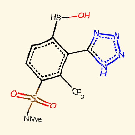 CNS(=O)(=O)c1ccc(BO)c(-c2nnn[nH]2)c1C(F)(F)F